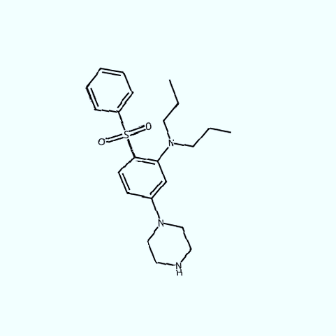 CCCN(CCC)c1cc(N2CCNCC2)ccc1S(=O)(=O)c1ccccc1